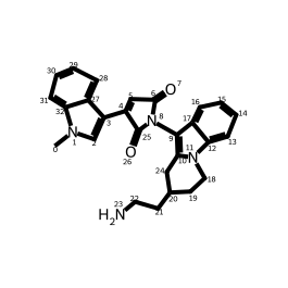 Cn1cc(C2=CC(=O)N(c3c4n(c5ccccc35)CCC(CCN)C4)C2=O)c2ccccc21